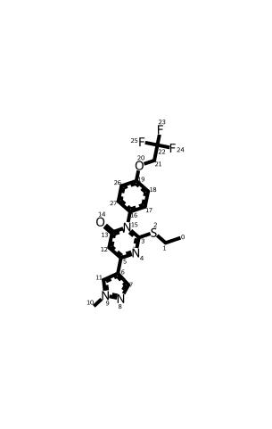 CCSc1nc(-c2cnn(C)c2)cc(=O)n1-c1ccc(OCC(F)(F)F)cc1